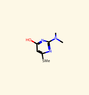 CSc1cc(O)nc(N(C)C)n1